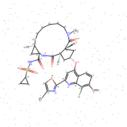 COc1ccc2c(O[C@@H]3C[C@H]4C(=O)N[C@]5(C(=O)NS(=O)(=O)C6CC6)C[C@H]5CCCCCCN(C)C(=O)[C@@H]4C3)cc(-c3nc(C(C)C)cs3)nc2c1F